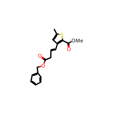 COC(=O)c1sc(C)cc1/C=C/CC(=O)OCc1ccccc1